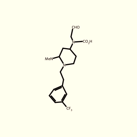 CNC1CC(N(CC=O)C(=O)O)CCN1CCc1cccc(C(F)(F)F)c1